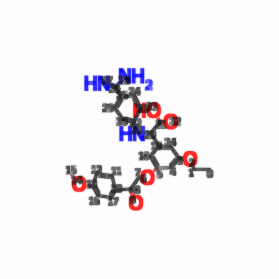 CCOc1cc(OCC(=O)c2ccc(OC)cc2)cc(C(Nc2ccc(C(=N)N)cc2)C(=O)O)c1